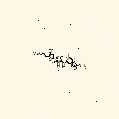 COCCc1sc(S(=O)(=O)NC(=O)NC2=CC(Br)(NC(N)=O)C=CN2)cc1C